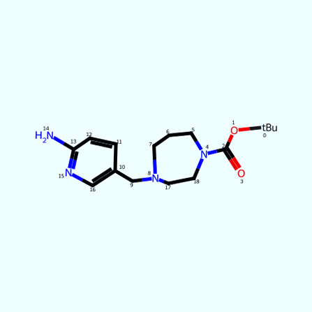 CC(C)(C)OC(=O)N1CCCN(Cc2ccc(N)nc2)CC1